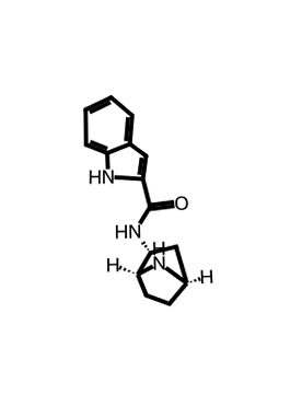 O=C(N[C@@H]1C[C@H]2CC[C@@H]1N2)c1cc2ccccc2[nH]1